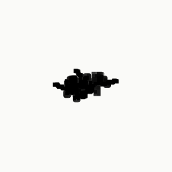 CBOC(=O)[C@H](CC(=O)OCCCC)NC(=O)c1ccc(-c2ccc(C(=O)NCNC(=O)[C@H](CCCCC)[C@@H](CC)N(C=O)OC(=O)C(c3ccccc3)c3ccccc3)o2)cc1OCC(=O)OCCCC